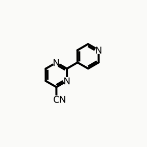 N#Cc1ccnc(-c2ccncc2)n1